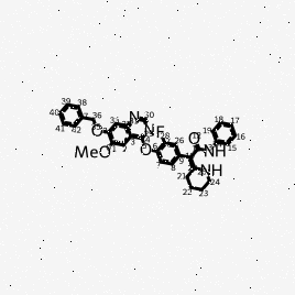 COc1cc2c(Oc3ccc(/C(C(=O)Nc4ccccc4)=C4\CCCCN4)cc3F)ncnc2cc1OCc1ccccc1